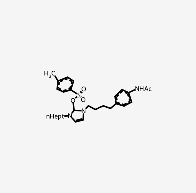 CCCCCCCN1C=CN(CCCCc2ccc(NC(C)=O)cc2)C1OS(=O)(=O)c1ccc(C)cc1